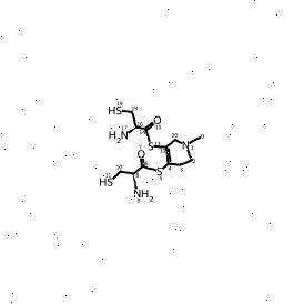 CN1CCC(SC(=O)[C@@H](N)CS)=C(SC(=O)[C@@H](N)CS)C1